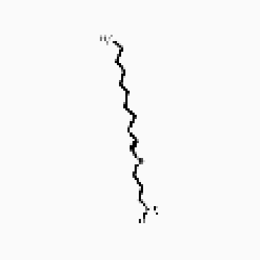 CCCCCCCCCC=CNCCC[NH2+][O-]